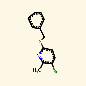 Cc1nc(SCc2ccccc2)ccc1Br